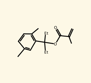 C=C(C)C(=O)OC(CC)(CC)c1cc(C)ccc1C